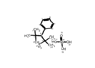 CC(C)(C)I(c1ccccc1)C(C)(C)C.[O]=[Sb]([OH])([OH])[OH]